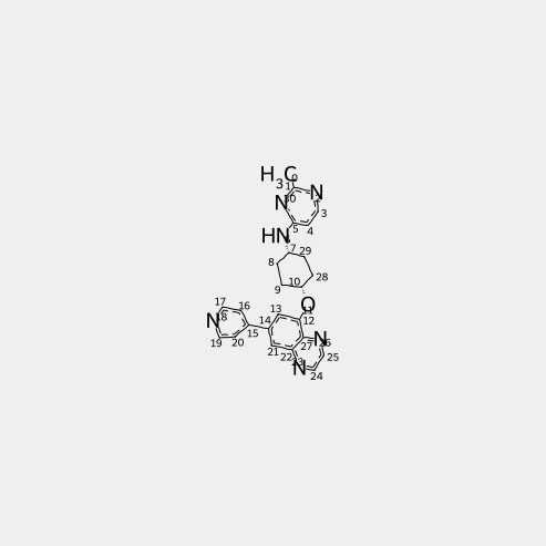 Cc1nccc(N[C@H]2CC[C@@H](Oc3cc(-c4ccncc4)cc4nccnc34)CC2)n1